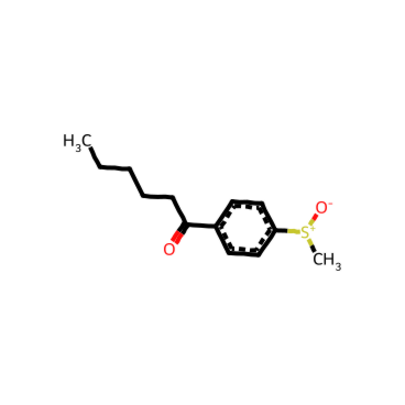 CCCCCC(=O)c1ccc([S+](C)[O-])cc1